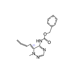 C=C=C/C=C1/C(NC(=O)OCc2ccccc2)=NC=NN1C